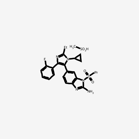 CCc1nc(-c2ccccc2F)c(-c2ccc3nc(N)n(S(=O)(=O)C(C)C)c3c2)n1C1CC1.CS(=O)(=O)O